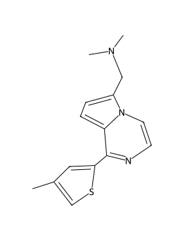 Cc1csc(-c2nccn3c(CN(C)C)ccc23)c1